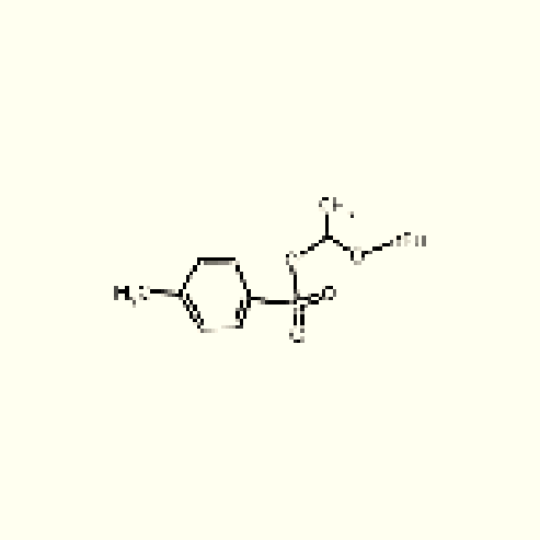 Cc1ccc(S(=O)(=O)OC(C)OC(C)(C)C)cc1